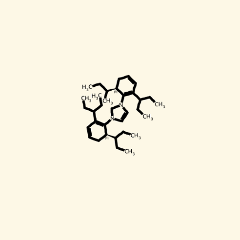 CCC(CC)C1=C(N2C=CN(C3=C(C(CC)CC)C=CC[C@@H]3C(CC)CC)C2)[C@@H](C(C)CC)CC=C1